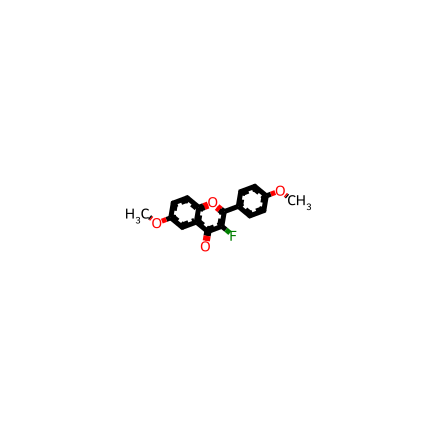 COc1ccc(-c2oc3ccc(OC)cc3c(=O)c2F)cc1